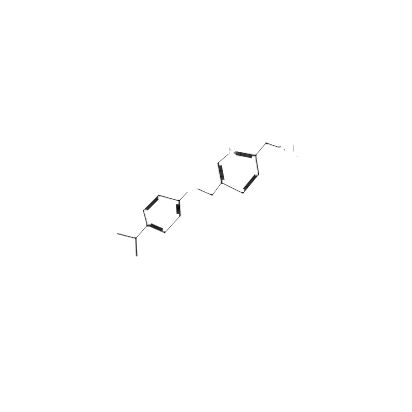 CC(C)c1ccc(OCc2ccc(CN)nc2)cc1